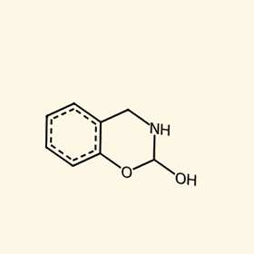 OC1NCc2ccccc2O1